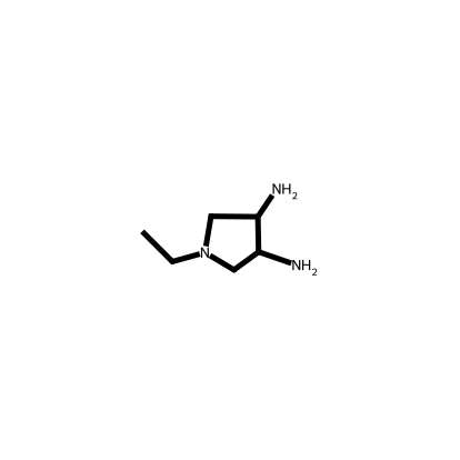 CCN1CC(N)C(N)C1